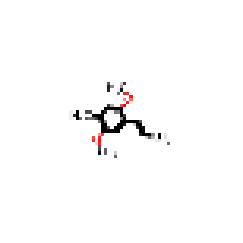 CC=Cc1cc(OC)c(C)cc1OC